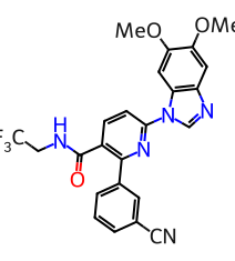 COc1cc2ncn(-c3ccc(C(=O)NCC(F)(F)F)c(-c4cccc(C#N)c4)n3)c2cc1OC